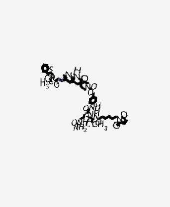 Cc1c(CN(C)C(=O)/C=C/c2cnc3c(c2)CC2(CCN(C(=O)OCc4ccc(NC(=O)[C@H](CCCNC(N)=O)NC(=O)C(NC(=O)CCCCCN5C(=O)C=CC5=O)C(C)C)cc4)CC2)C(=O)N3)sc2ccccc12